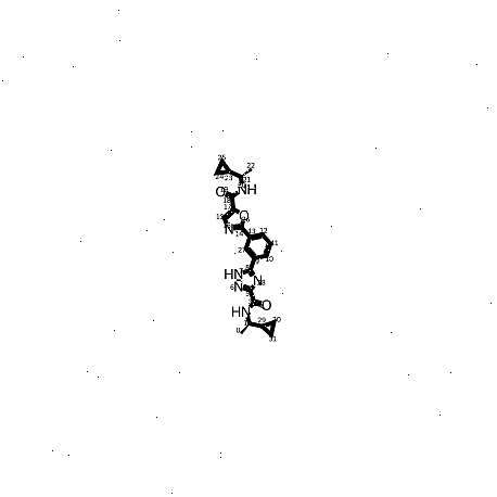 C[C@@H](NC(=O)c1n[nH]c(-c2cccc(-c3ncc(C(=O)N[C@H](C)C4CC4)o3)c2)n1)C1CC1